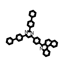 c1ccc(-c2ccc(-c3cc(-c4ccc(-c5nc6ccccc6c6c5ccc5ccccc56)cc4)nc(-c4ccc(-c5ccccc5)cc4)n3)cc2)cc1